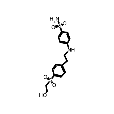 NS(=O)(=O)c1ccc(NCCc2ccc(S(=O)(=O)CCO)cc2)cc1